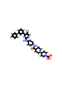 O=C(NC1CCC(Nc2ncc(Cl)c(-c3cccc(-c4ccc(F)cc4)c3)n2)CC1)C1CCN(C2CCN(C(=O)O)CC2)CC1